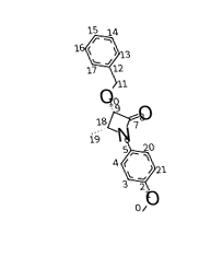 COc1ccc(N2C(=O)[C@@H](OCc3ccccc3)[C@H]2C)cc1